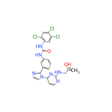 C[C@H](O)CNc1nccc(-n2ccnc2-c2cccc(NC(=O)Nc3cc(Cl)c(Cl)cc3Cl)c2)n1